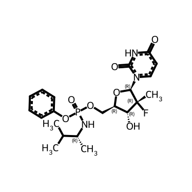 CC(C)[C@@H](C)NP(=O)(OC[C@H]1O[C@@H](n2ccc(=O)[nH]c2=O)[C@](C)(F)[C@@H]1O)Oc1ccccc1